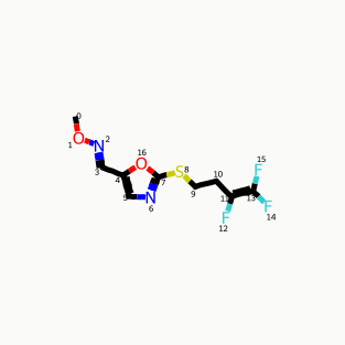 CON=Cc1cnc(SCCC(F)=C(F)F)o1